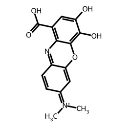 C[N+](C)=c1ccc2nc3c(C(=O)O)cc(O)c(O)c3oc-2c1